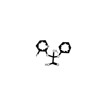 CC(Oc1ccccc1)(Oc1ncccc1F)C(=O)O